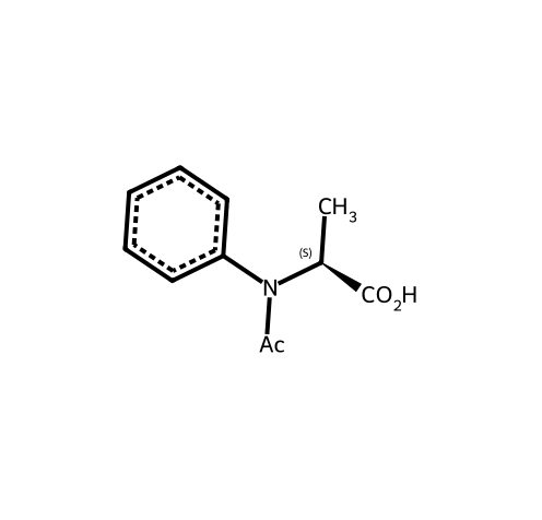 CC(=O)N(c1ccccc1)[C@@H](C)C(=O)O